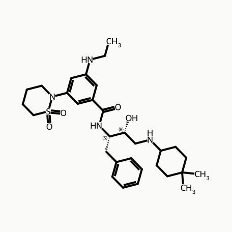 CCNc1cc(C(=O)N[C@@H](Cc2ccccc2)[C@H](O)CNC2CCC(C)(C)CC2)cc(N2CCCCS2(=O)=O)c1